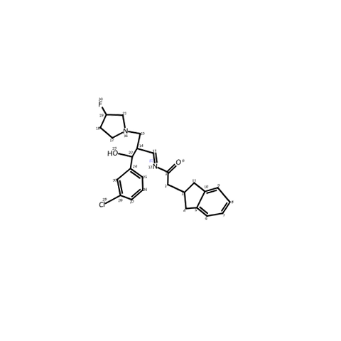 O=C(CC1Cc2ccccc2C1)/N=C/C(CN1CCC(F)C1)C(O)c1cccc(Cl)c1